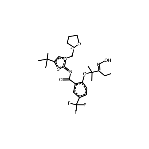 CCC(=NO)C(C)(C)Oc1ccc(C(F)(F)F)cc1C(=O)N=c1sc(C(C)(C)C)cn1C[C@H]1CCCO1